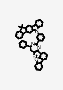 CCC1=C(c2cccc3c2oc2ccccc23)N=C(c2cccc(-n3c4ccccc4c4cc5c(cc43)-c3ccccc3C5(C)C)c2)N=C(c2ccccc2)C1